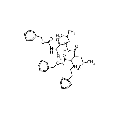 CC(C)C[C@@H](C(=O)NN(CC(C)C)C(=O)[C@@H](C)NC(=O)OCc1ccccc1)C(CCCc1ccccc1)C(=O)NOCc1ccccc1